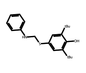 CC(C)(C)c1cc(SCNc2ccccc2)cc(C(C)(C)C)c1O